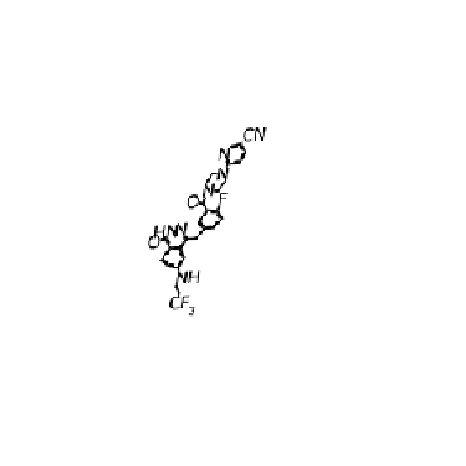 N#Cc1ccc(N2CCN(C(=O)c3cc(Cc4n[nH]c(=O)c5ccc(NCCC(F)(F)F)cc45)ccc3F)CC2)nc1